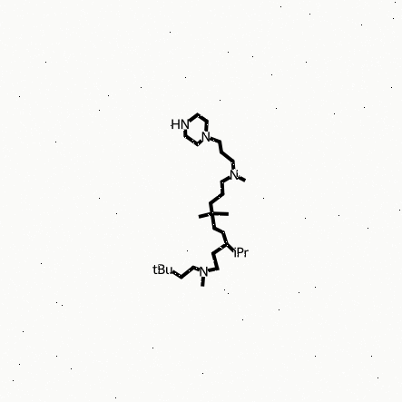 CC(C)C(CCN(C)CCC(C)(C)C)CCC(C)(C)CCCN(C)CCCN1CCNCC1